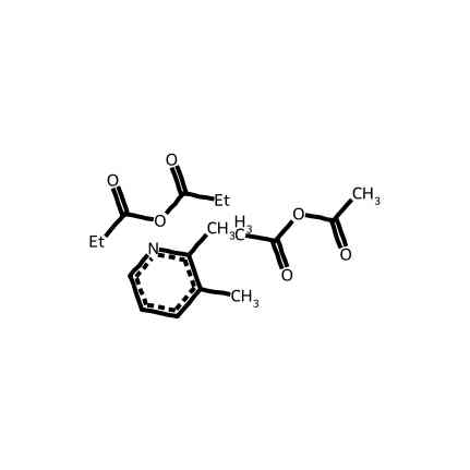 CC(=O)OC(C)=O.CCC(=O)OC(=O)CC.Cc1cccnc1C